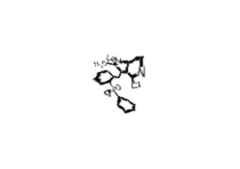 Cc1[nH]c2ccnc(Cl)c2c1Cc1ccccc1S(=O)(=O)c1ccccc1